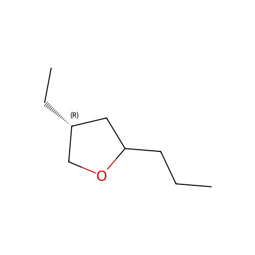 CCCC1C[C@@H](CC)CO1